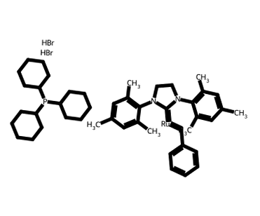 Br.Br.C1CCC(P(C2CCCCC2)C2CCCCC2)CC1.Cc1cc(C)c(N2CCN(c3c(C)cc(C)cc3C)[C]2=[Ru]=[CH]c2ccccc2)c(C)c1